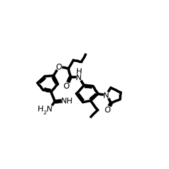 CCCC(Oc1cccc(C(=N)N)c1)C(=O)Nc1ccc(CC)c(N2CCCC2=O)c1